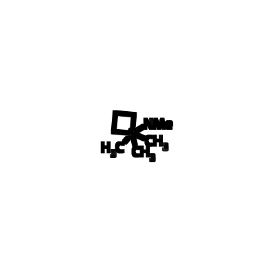 CNS1(C)(C)(C)CCC1